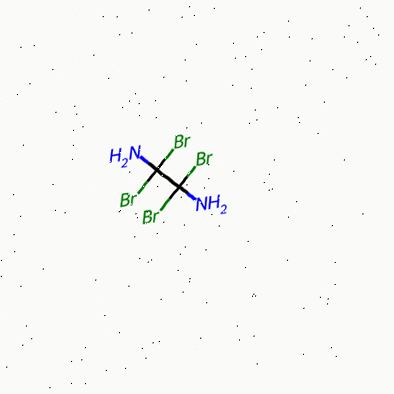 NC(Br)(Br)C(N)(Br)Br